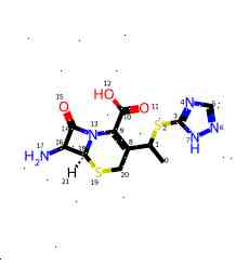 CC(Sc1ncn[nH]1)C1=C(C(=O)O)N2C(=O)C(N)[C@@H]2SC1